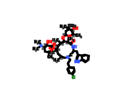 COC1(C)C[C@H](OC2[C@@H](C)C(=O)NC(Cc3c[nH]c4ccccc34)CN(CCc3ccc(Cl)cc3)C[C@H](C)C[C@@](C)(O)[C@H](OC3O[C@H](C)C[C@H](N(C)C)[C@H]3O)[C@H]2C)O[C@@H](C)[C@@H]1O